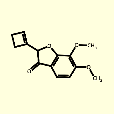 COc1ccc2c(c1OC)OC(C1=CCC1)C2=O